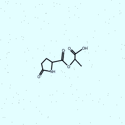 CC(OC(=O)C1CCC(=O)N1)C(=O)O